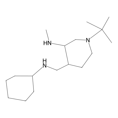 CNC1CN(C(C)(C)C)CCC1CNC1CCCCC1